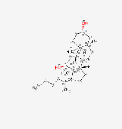 CCCC[C@@H](C)[C@H]1CC[C@H]2[C@@H]3CC[C@@H]4C[C@H](O)CC[C@]4(C)[C@H]3C[C@H](O)[C@]12C